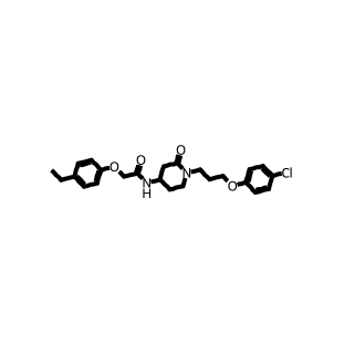 CCc1ccc(OCC(=O)NC2CCN(CCCOc3ccc(Cl)cc3)C(=O)C2)cc1